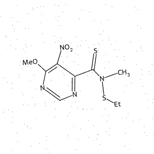 CCSN(C)C(=S)c1ncnc(OC)c1[N+](=O)[O-]